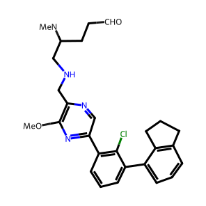 CNC(CCC=O)CNCc1ncc(-c2cccc(-c3cccc4c3CCC4)c2Cl)nc1OC